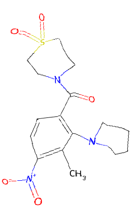 Cc1c([N+](=O)[O-])ccc(C(=O)N2CCS(=O)(=O)CC2)c1N1CCCC1